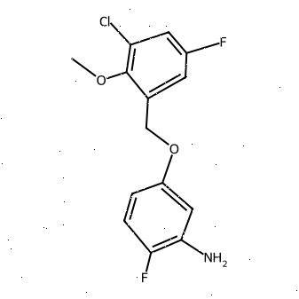 COc1c(Cl)cc(F)cc1COc1ccc(F)c(N)c1